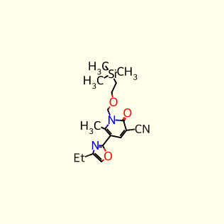 CCc1coc(-c2cc(C#N)c(=O)n(COCC[Si](C)(C)C)c2C)n1